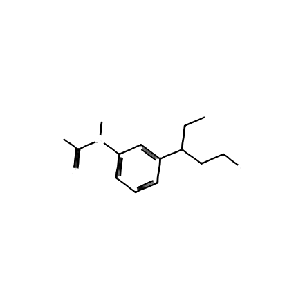 CCCC(CI)c1cccc(N(C)C(=O)O)c1